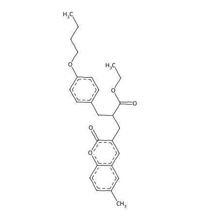 CCCCOc1ccc(CC(Cc2cc3cc(C)ccc3oc2=O)C(=O)OCC)cc1